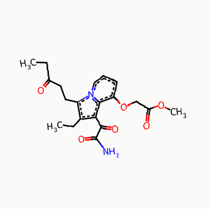 CCC(=O)CCc1c(CC)c(C(=O)C(N)=O)c2c(OCC(=O)OC)cccn12